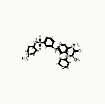 C[C@@H]1C(=O)N(C)c2cnc(Nc3cccc(S(=O)(=O)NC4CCN(C)CC4)c3)cc2N1C1CCOCC1